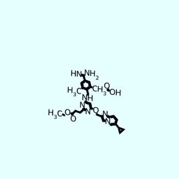 CCOC(=O)CCc1nc(NCc2c(C)cc(C(=N)N)cc2C)cc(OCc2cn3cc(C4CC4)ccc3n2)n1.O=CO